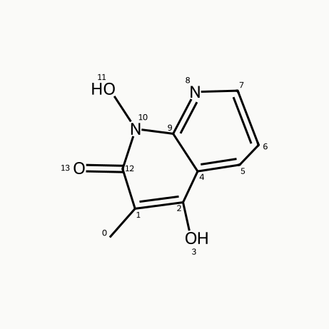 Cc1c(O)c2cccnc2n(O)c1=O